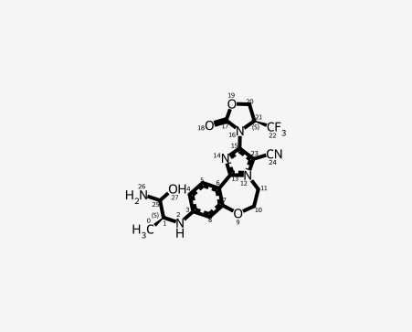 C[C@H](Nc1ccc2c(c1)OCCn1c-2nc(N2C(=O)OC[C@H]2C(F)(F)F)c1C#N)C(N)O